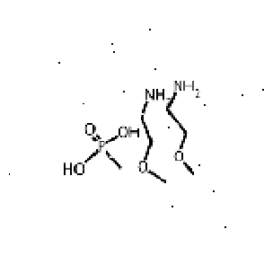 COCCN.COCCN.CP(=O)(O)O